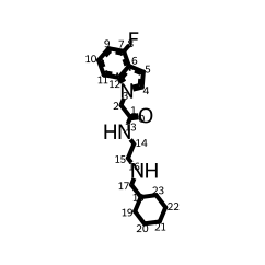 O=C(Cn1ccc2c(F)cccc21)NCCNCC1CCCCC1